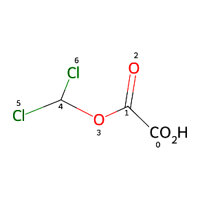 O=C(O)C(=O)OC(Cl)Cl